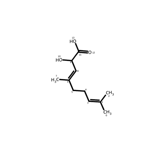 CC(C)=CCCC(C)=CC(O)C(=O)O